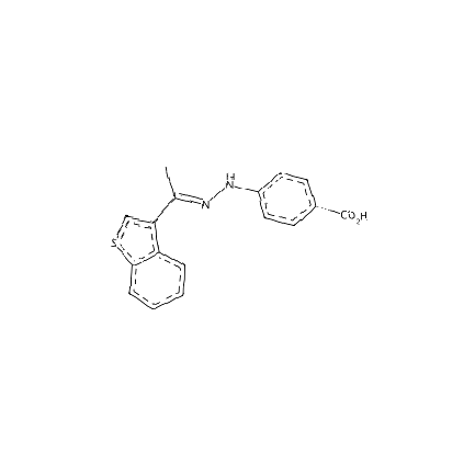 CC(=NNc1ccc(C(=O)O)cc1)c1csc2ccccc12